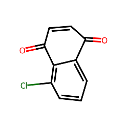 O=C1C=CC(=O)c2c(Cl)cccc21